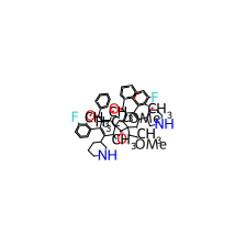 COCCC1(C(=O)C2(CCOC)C(C)=C(C(=O)c3ccccc3)C(c3cccc(F)c3C)=C(C3CCCNC3)C2C)C(C)=C(C(=O)c2ccccc2)C(c2cccc(F)c2C)=C(C2CCCNC2)C1C